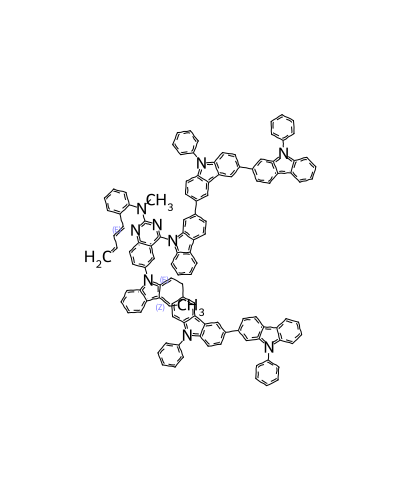 C=C/C=C/c1ccccc1N(C)c1nc(-n2c3ccccc3c3ccc(-c4ccc5c(c4)c4cc(-c6ccc7c8ccccc8n(-c8ccccc8)c7c6)ccc4n5-c4ccccc4)cc32)c2cc(-n3c(=C/Cc4ccc5c(c4)c4cc(-c6ccc7c8ccccc8n(-c8ccccc8)c7c6)ccc4n5-c4ccccc4)/c(=C\C)c4ccccc43)ccc2n1